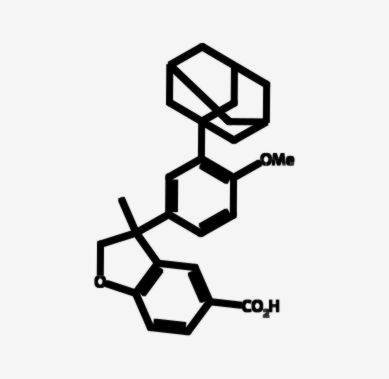 COc1ccc(C2(C)COc3ccc(C(=O)O)cc32)cc1C12CC3CC(CC(C3)C1)C2